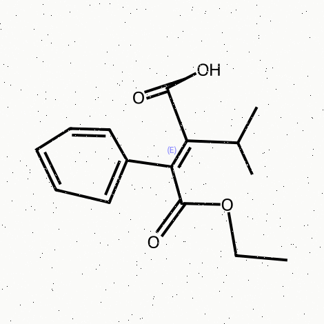 CCOC(=O)/C(=C(/C(=O)O)C(C)C)c1ccccc1